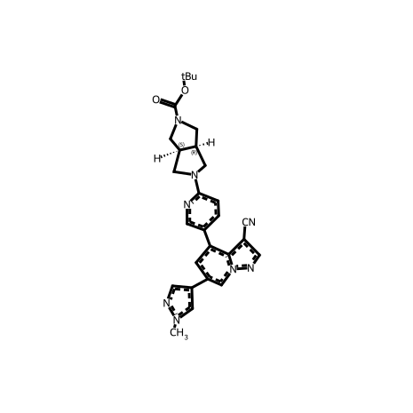 Cn1cc(-c2cc(-c3ccc(N4C[C@H]5CN(C(=O)OC(C)(C)C)C[C@H]5C4)nc3)c3c(C#N)cnn3c2)cn1